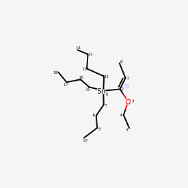 C/C=[C](/OCC)[Sn]([CH2]CCC)([CH2]CCC)[CH2]CCC